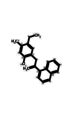 C=C(Cc1cc(CC)c(C)cc1Cl)c1cccc2ccccc12